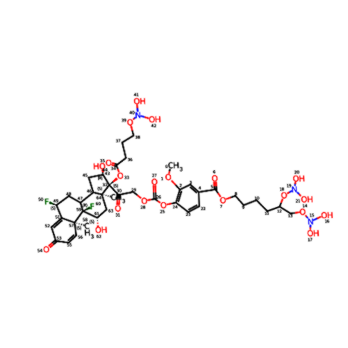 COc1cc(C(=O)OCCCCC(CON(O)O)ON(O)O)ccc1OC(=O)OCC(=O)[C@@]1(OC(=O)CCCON(O)O)[C@H](O)CC2C3C[C@H](F)C4=CC(=O)C=C[C@]4(C)[C@@]3(F)[C@@H](O)C[C@@]21C